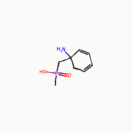 CP(=O)(O)CC1(N)C=CC=CC1